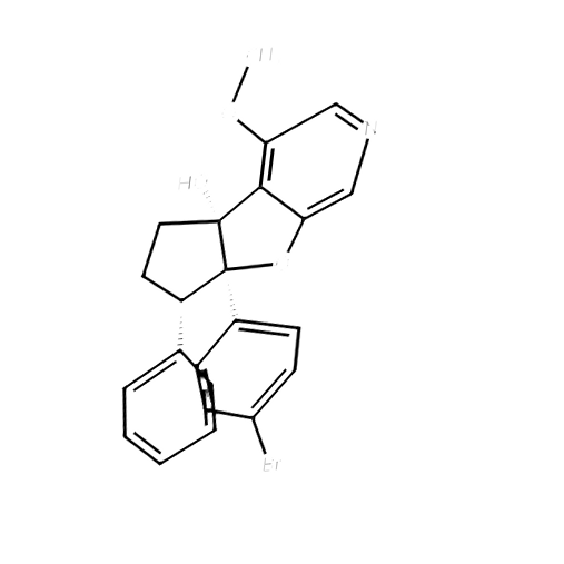 COc1cncc2c1[C@]1(O)CC[C@@H](c3ccccc3)[C@]1(c1ccc(Br)cc1)O2